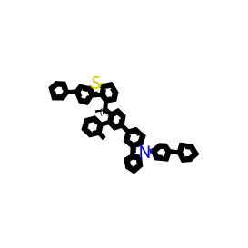 Cc1ccccc1-c1cc(-c2ccc3c(c2)c2ccccc2n3-c2ccc(-c3ccccc3)cc2)ccc1[C@@H](C)c1cccc2sc3cc(-c4ccccc4)ccc3c12